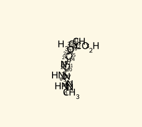 Cc1nnc(-c2c[nH]c(-c3ccc(-c4ccc(OCC(C)(C)C(=O)O)cc4)nc3)n2)[nH]1